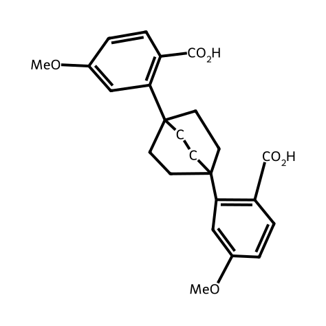 COc1ccc(C(=O)O)c(C23CCC(c4cc(OC)ccc4C(=O)O)(CC2)CC3)c1